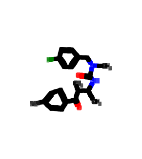 CC(NC(=O)N(C)Cc1ccc(F)cc1)C(C)C(=O)c1ccc(C#N)cc1